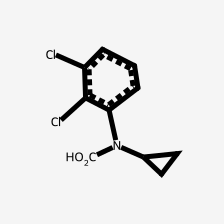 O=C(O)N(c1cccc(Cl)c1Cl)C1CC1